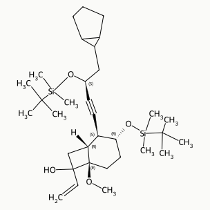 C=CC1(O)C[C@@H]2[C@@H](C#C[C@H](CC3C4CCCC43)O[Si](C)(C)C(C)(C)C)[C@H](O[Si](C)(C)C(C)(C)C)CC[C@@]21OC